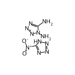 Nc1nnnn1N.O=[N+]([O-])c1nnn[nH]1